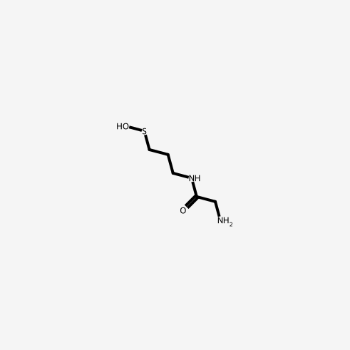 NCC(=O)NCCCSO